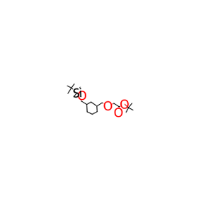 CC(C)(C)OC(=O)COCC1CCCC(CO[Si](C)(C)C(C)(C)C)C1